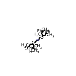 CCC1(C)CC(OC/C=C/COC2CC(C)(CC)NC(C)(CC)C2C)C(C)C(C)(CC)N1